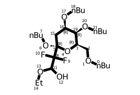 CCCCOC[C@H]1O[C@@](OCCCC)(C(F)(F)C(O)OCC)C[C@@H](OCCCC)[C@H]1OCCCC